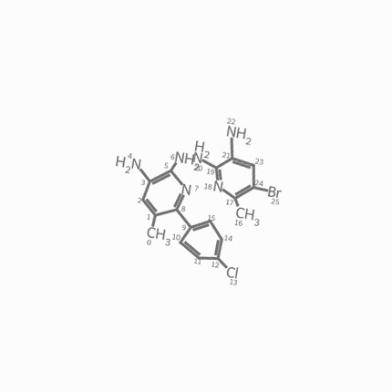 Cc1cc(N)c(N)nc1-c1ccc(Cl)cc1.Cc1nc(N)c(N)cc1Br